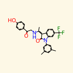 C/C(NCC(=O)c1ccc(O)cc1)=C1/C(=O)N(c2cc(C)cc(C)c2)c2cc(C(F)(F)F)ccc21